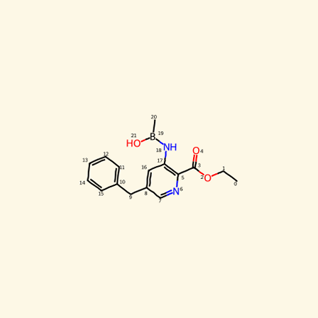 CCOC(=O)c1ncc(Cc2ccccc2)cc1NB(C)O